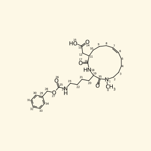 CN1CCCCC=CCCCC(CC(=O)O)C(=O)NC(CCCCNC(=O)OCc2ccccc2)C1=O